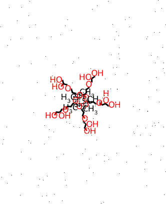 C[Si]1(CCCOCC(O)CO)O[Si](C)(CCCOCC(O)CO)O[Si](C)(CCCOCC(O)CO)O[Si](C)(CCCOCC(O)CO)O[Si](C)(CCCOCC(O)CO)O1